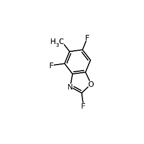 Cc1c(F)cc2oc(F)nc2c1F